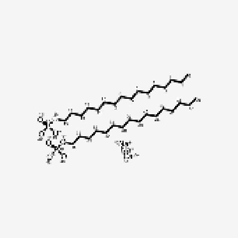 CCCCCCCCCCCCCCCCOP(=O)([O-])[O-].CCCCCCCCCCCCCCCCOP(=O)([O-])[O-].[Ca+2].[Na+].[Na+]